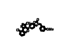 COc1cccc(CN2CC3(CCN(C(=O)c4c(-c5c(F)cccc5Cl)noc4C)CC3)OC2=O)c1